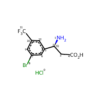 Cl.N[C@@H](CC(=O)O)c1cc(Br)cc(C(F)(F)F)c1